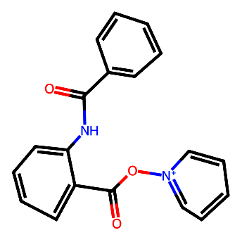 O=C(Nc1ccccc1C(=O)O[n+]1ccccc1)c1ccccc1